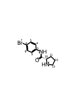 O=C(Nc1ccc(Br)cc1)[C@@H]1CCCN1